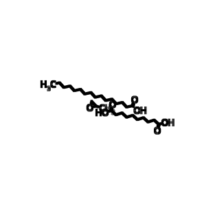 CC1CO1.CCCCCCCCCCCCCCCC(=O)O.O=C(O)CCCCCCCCC(=O)O